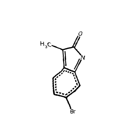 CC1=c2ccc(Br)cc2=NC1=O